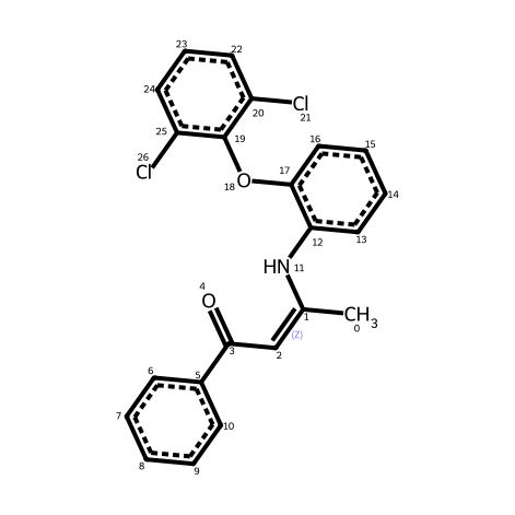 C/C(=C/C(=O)c1ccccc1)Nc1ccccc1Oc1c(Cl)cccc1Cl